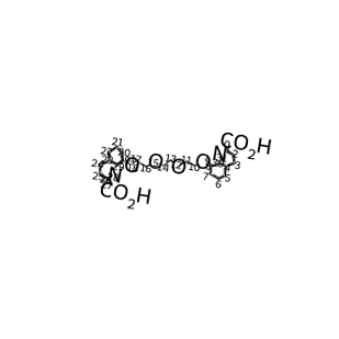 O=C(O)c1ccc2cccc(OCCOCCOCCOc3cccc4ccc(C(=O)O)nc34)c2n1